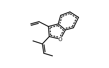 C=Cc1c(/C(C)=C\C)oc2ccccc12